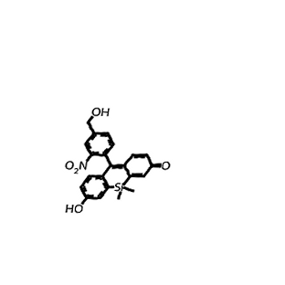 C[Si]1(C)C2=CC(=O)C=CC2=C(c2ccc(CO)cc2[N+](=O)[O-])c2ccc(O)cc21